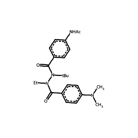 CCN(C(=O)c1ccc(N(C)C)cc1)N(C(=O)c1ccc(NC(C)=O)cc1)C(C)(C)C